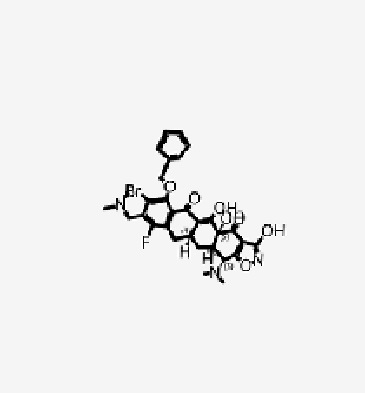 CN(C)Cc1c(F)c2c(c(OCc3ccccc3)c1Br)C(=O)C1=C(O)[C@]3(O)C(=O)c4c(O)noc4[C@@H](N(C)C)[C@@H]3C[C@@H]1C2